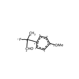 COc1ccc(C(C)(F)C=O)cc1